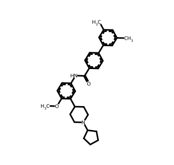 COc1ccc(NC(=O)c2ccc(-c3cc(C)cc(C)c3)cc2)cc1C1CCN(C2CCCC2)CC1